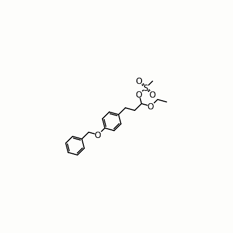 CCOC(CCc1ccc(OCc2ccccc2)cc1)OS(C)(=O)=O